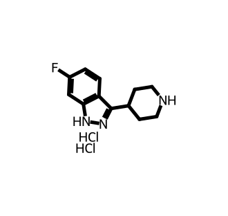 Cl.Cl.Fc1ccc2c(C3CCNCC3)n[nH]c2c1